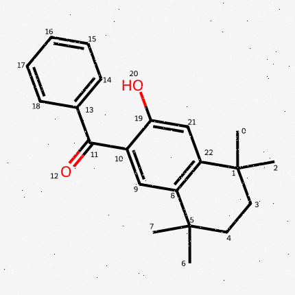 CC1(C)CCC(C)(C)c2cc(C(=O)c3ccccc3)c(O)cc21